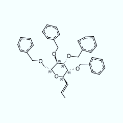 CC=C[C@H]1O[C@H](COCc2ccccc2)[C@@H](OCc2ccccc2)[C@H](OCc2ccccc2)[C@@H]1OCc1ccccc1